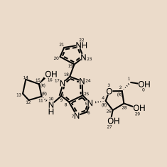 OC[C@H]1O[C@@H](n2cnc3c(N[C@@H]4CCC[C@H]4O)nc(-c4cc[nH]n4)nc32)C(O)C1O